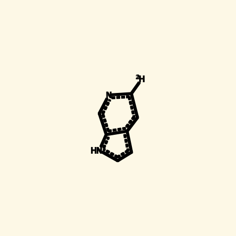 [2H]c1cc2cc[nH]c2cn1